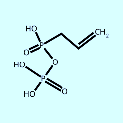 C=CCP(=O)(O)OP(=O)(O)O